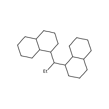 CCC(C1CCCC2CCCCC21)C1CCCC2CCCCC21